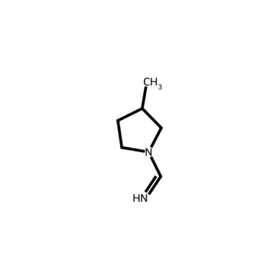 CC1CCN(C=N)C1